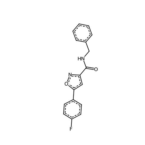 O=C(NCc1ccccc1)c1cc(-c2ccc(F)cc2)on1